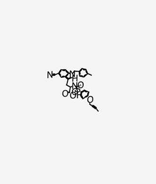 CC#CCOc1ccc(S(=O)(=O)NC(Cc2cn(Cc3ccc(C)cc3)c3ccc(C#N)cc23)C(=O)O)cc1